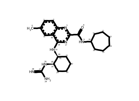 Cc1ccc2nc(C(=O)NC3CCCCCC3)nc(N[C@H]3CCCC[C@H]3NC(=N)N)c2c1